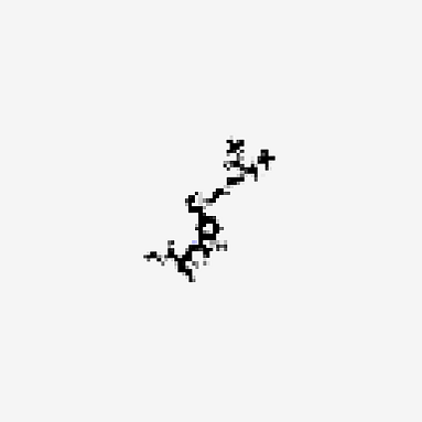 CCOC(=O)c1cc(C)[nH]c1/C=C1\C(=O)Nc2ccc(-c3ccnn3CCOCCN(C(=O)OC(C)(C)C)C(=O)OC(C)(C)C)cc21